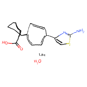 Nc1nc(-c2ccc(C3(C(=O)O)CC3)cc2)cs1.O.[LiH]